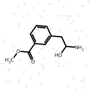 COC(=O)c1cccc(CC(N)O)c1